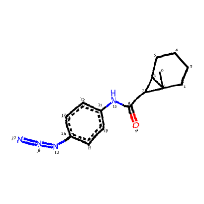 CC12CCCCC1C2C(=O)Nc1ccc(N=[N+]=[N-])cc1